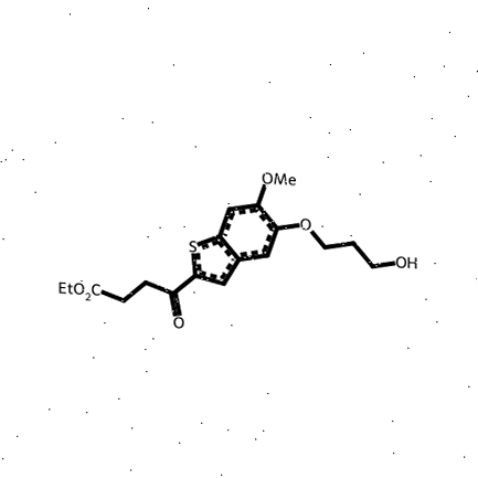 CCOC(=O)CCC(=O)c1cc2cc(OCCCO)c(OC)cc2s1